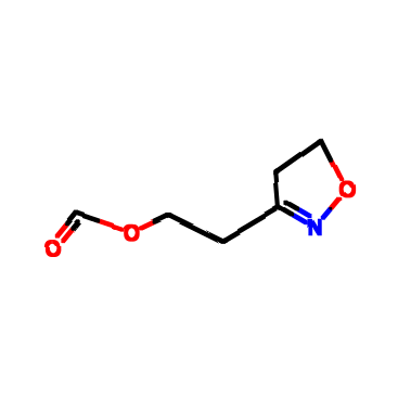 O=COCCC1=NOCC1